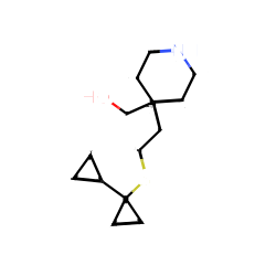 OCC1(CCSC2(C3CC3)CC2)CCNCC1